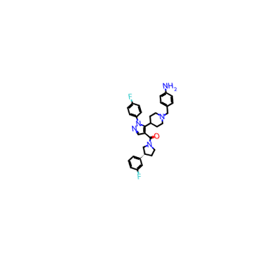 Nc1ccc(CN2CCC(c3c(C(=O)N4CC[C@H](c5cccc(F)c5)C4)cnn3-c3ccc(F)cc3)CC2)cc1